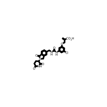 C=C(COc1cc(Cl)cc(NC(=O)NCc2ccc3c(c2)CN(C2CCC(=O)NC2=O)C3=O)c1)C(=O)O